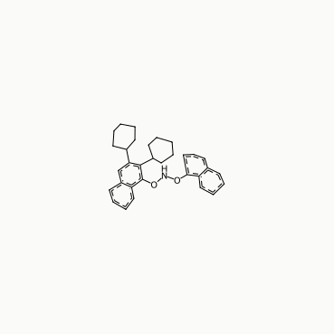 c1ccc2c(ONOc3c(C4CCCCC4)c(C4CCCCC4)cc4ccccc34)cccc2c1